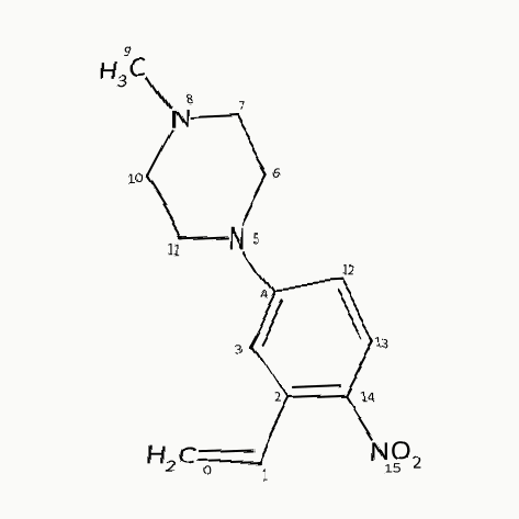 C=Cc1cc(N2CCN(C)CC2)ccc1[N+](=O)[O-]